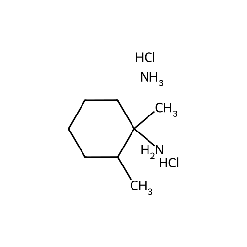 CC1CCCCC1(C)N.Cl.Cl.N